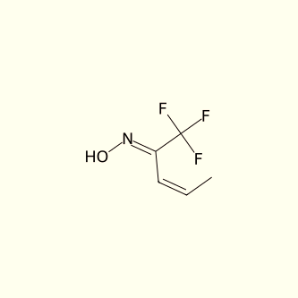 C/C=C\C(=N/O)C(F)(F)F